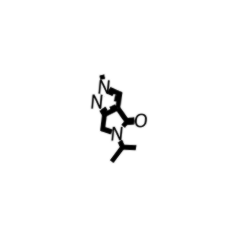 CC(C)N1Cc2nn(C)cc2C1=O